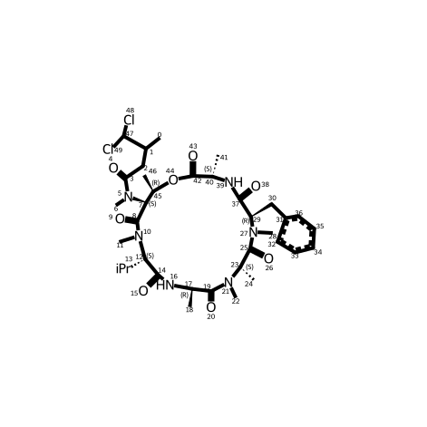 CC(CC(=O)N(C)[C@@H]1C(=O)N(C)[C@@H](C(C)C)C(=O)N[C@H](C)C(=O)N(C)[C@@H](C)C(=O)N(C)[C@H](Cc2ccccc2)C(=O)N[C@@H](C)C(=O)O[C@@H]1C)C(Cl)Cl